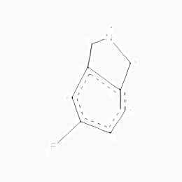 Fc1ccc2c(c1)C[N]C2